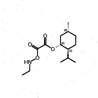 CCNOC(=O)C(=O)O[C@@H]1C[C@H](C)CC[C@H]1C(C)C